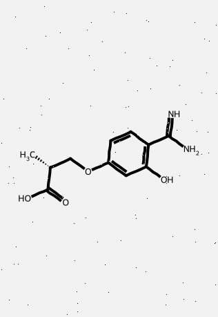 C[C@H](COc1ccc(C(=N)N)c(O)c1)C(=O)O